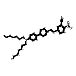 CCCCCCCN(CCCCCCC)c1ccc(-c2ccc(/C=C/c3ccc([N+](=O)[O-])c(C#N)c3)cc2)cc1